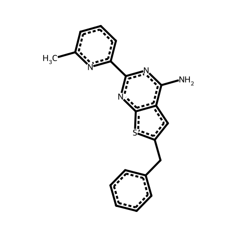 Cc1cccc(-c2nc(N)c3cc(Cc4ccccc4)sc3n2)n1